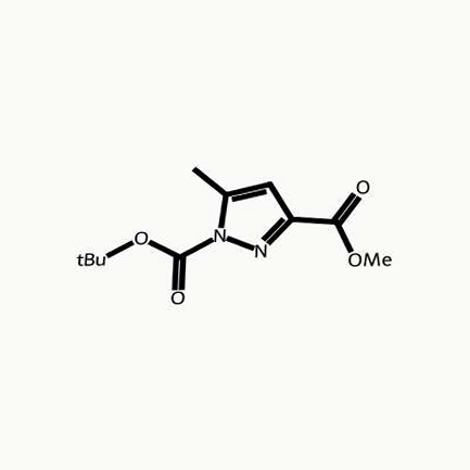 COC(=O)c1cc(C)n(C(=O)OC(C)(C)C)n1